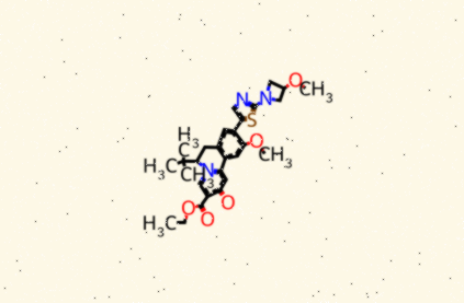 CCOC(=O)c1cn2c(cc1=O)-c1cc(OC)c(-c3cnc(N4CC(OC)C4)s3)cc1CC2C(C)(C)C